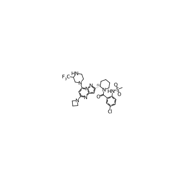 CS(=O)(=O)Nc1ccc(Cl)cc1C(=O)N1CCCC[C@H]1c1cc2nc(N3CCC3)cc(N3CCNC(C(F)(F)F)C3)n2n1